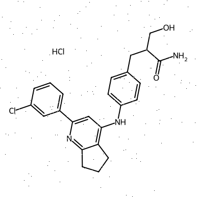 Cl.NC(=O)C(CO)Cc1ccc(Nc2cc(-c3cccc(Cl)c3)nc3c2CCC3)cc1